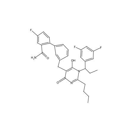 CCCCc1nc(=O)c(Cc2cccc(-c3ccc(F)cc3C(N)=O)c2)c(O)n1C(CC)c1cc(F)cc(F)c1